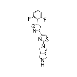 Fc1cccc(F)c1C1CC(c2csc(N3C=C4CNCC4C3)n2)=NO1